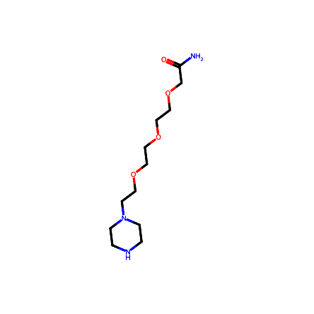 NC(=O)COCCOCCOCCN1CCNCC1